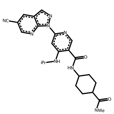 CNC(=O)C1CCC(NC(=O)c2cnc(-n3ncc4cc(C#N)cnc43)cc2NC(C)C)CC1